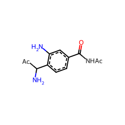 CC(=O)NC(=O)c1ccc(C(N)C(C)=O)c(N)c1